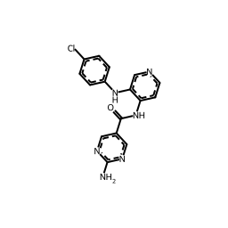 Nc1ncc(C(=O)Nc2ccncc2Nc2ccc(Cl)cc2)cn1